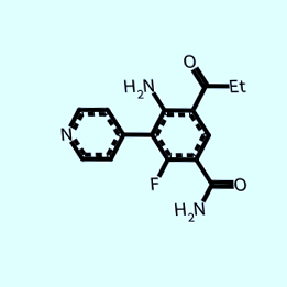 CCC(=O)c1cc(C(N)=O)c(F)c(-c2ccncc2)c1N